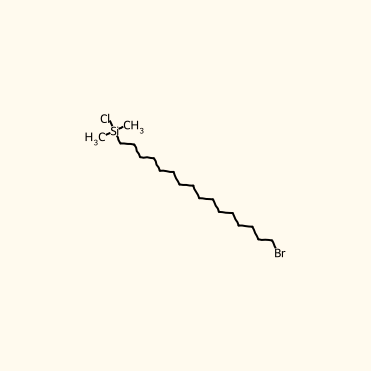 C[Si](C)(Cl)CCCCCCCCCCCCCCCCBr